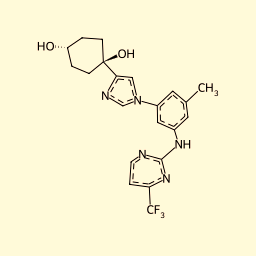 Cc1cc(Nc2nccc(C(F)(F)F)n2)cc(-n2cnc([C@]3(O)CC[C@H](O)CC3)c2)c1